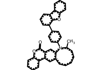 Cc1cccccc2cc3c(cc2n1-c1ccc(-c2cccc4c2oc2ccccc24)cc1)c(=O)oc1ccccc13